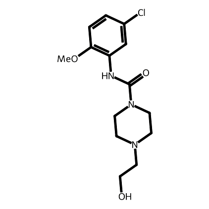 COc1ccc(Cl)cc1NC(=O)N1CCN(CCO)CC1